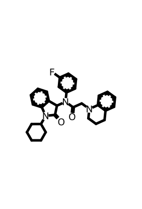 O=C1C(N(C(=O)CN2CCCc3ccccc32)c2cccc(F)c2)c2ccccc2N1C1CCCCC1